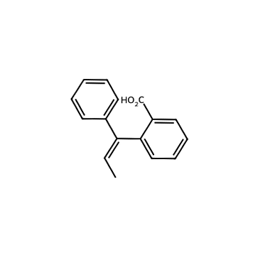 C/C=C(/c1ccccc1)c1ccccc1C(=O)O